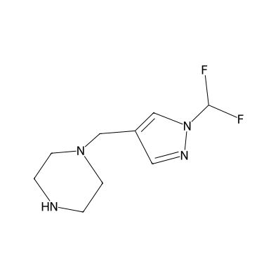 FC(F)n1cc(CN2CCNCC2)cn1